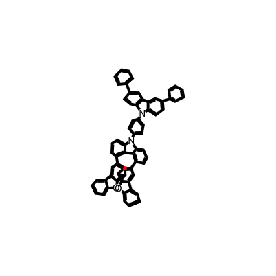 c1ccc(-c2ccc3c(c2)c2cc(-c4ccccc4)ccc2n3-c2ccc(-n3c4cccc(-c5ccc6oc7ccccc7c6c5)c4c4c(-c5ccc6oc7ccccc7c6c5)cccc43)cc2)cc1